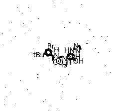 CC(C)(C)c1cc(Br)cc(C(CC(=O)O)NC(=O)CNc2cc(O)cc(NC3=NCCN3)c2)c1